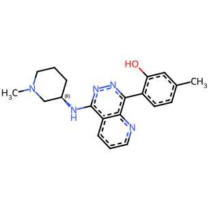 Cc1ccc(-c2nnc(N[C@@H]3CCCN(C)C3)c3cccnc23)c(O)c1